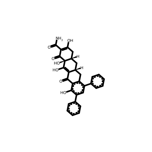 NC(=O)C1=C(O)C[C@@H]2C[C@@H]3Cc4c(-c5ccccc5)cc(-c5ccccc5)c(O)c4C(=O)C3=C(O)[C@]2(O)C1=O